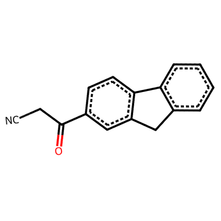 N#CCC(=O)c1ccc2c(c1)Cc1ccccc1-2